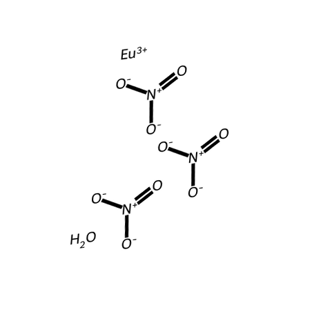 O.O=[N+]([O-])[O-].O=[N+]([O-])[O-].O=[N+]([O-])[O-].[Eu+3]